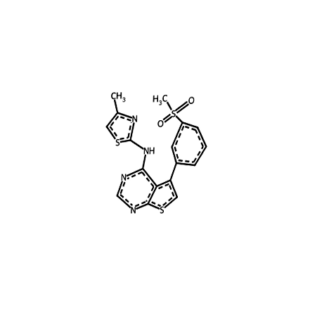 Cc1csc(Nc2ncnc3scc(-c4cccc(S(C)(=O)=O)c4)c23)n1